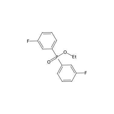 CCOP(=O)(c1cccc(F)c1)c1cccc(F)c1